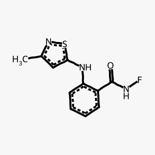 Cc1cc(Nc2ccccc2C(=O)NF)sn1